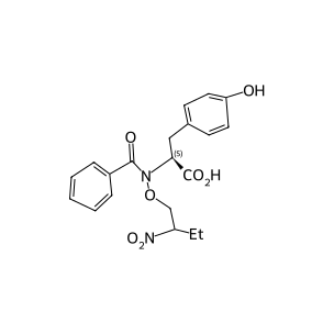 CCC(CON(C(=O)c1ccccc1)[C@@H](Cc1ccc(O)cc1)C(=O)O)[N+](=O)[O-]